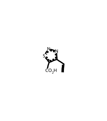 C=Cc1nnsc1C(=O)O